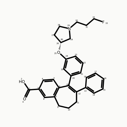 O=C(O)c1ccc2c(c1)CCCC(c1ccccc1)=C2c1cccc(O[C@@H]2CCN(CCCF)C2)c1